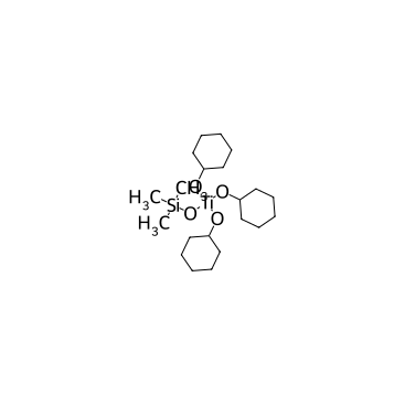 C[Si](C)(C)[O][Ti]([O]C1CCCCC1)([O]C1CCCCC1)[O]C1CCCCC1